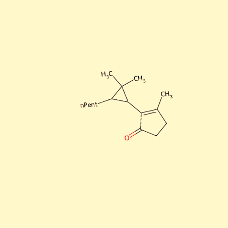 CCCCCC1C(C2=C(C)CCC2=O)C1(C)C